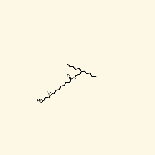 CCCCCC(CCCCC)CCOC(=O)CCCCCCCNCCCO